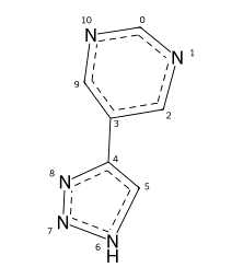 c1ncc(-c2c[nH]nn2)cn1